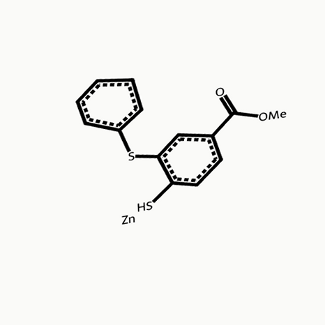 COC(=O)c1ccc(S)c(Sc2ccccc2)c1.[Zn]